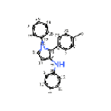 Cc1ccc(-c2c(Nc3ccccc3)ccn2-c2ccccc2)cc1